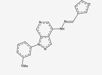 COc1cccc(-n2ncc3c(NN=Cc4ccoc4)cncc32)c1